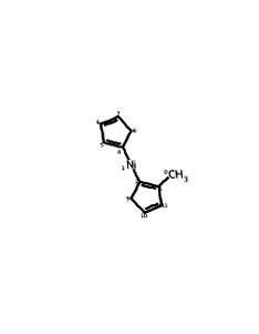 CC1=[C]([Ni][C]2=CC=CC2)CC=C1